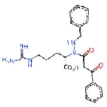 N=C(N)NCCC[C@@H](C(=O)O)N(NCc1ccccc1)C(=O)CC(=O)c1ccccc1